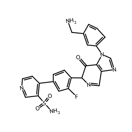 NCc1cccc(-n2cnc3c2C(=O)C(c2ccc(-c4ccncc4S(N)(=O)=O)cc2F)N=C3)c1